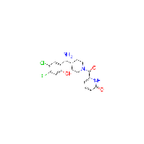 N[C@@H](c1cc(Cl)c(Cl)cc1O)C1CCN(C(=O)c2cccc(=O)[nH]2)CC1